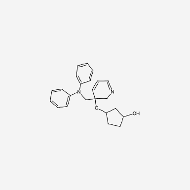 OC1CCC(OC2(CN(c3ccccc3)c3ccccc3)C=CC=NC2)C1